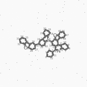 c1ccc(-c2nc3ccccc3c3c2cc(-n2c4ccccc4c4cc(-c5ccc6oc7ccccc7c6c5)ccc42)c2oc4ccccc4c23)cc1